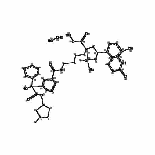 CN1CCC(OC(=O)C(O)(c2ccccc2)c2cccc(C(=O)NCCCCN(CC(O[Si](C)(C)C(C)(C)C)c3ccc(O)c4[nH]c(=O)ccc34)C(=O)OC(C)(C)C)c2)C1.O=CO